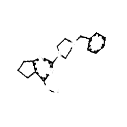 CCCCOc1nc(N2CCN(Cc3ccccc3)CC2)nc2c1CCC2